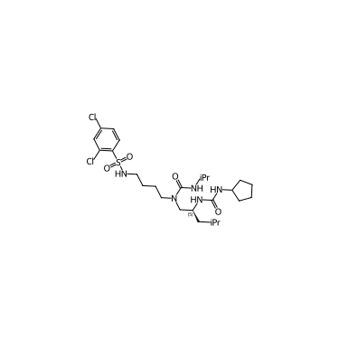 CC(C)C[C@@H](CN(CCCCNS(=O)(=O)c1ccc(Cl)cc1Cl)C(=O)NC(C)C)NC(=O)NC1CCCC1